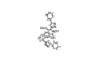 CO[C@@H]1[C@@H](n2cc(-c3ccnnc3)nn2)[C@@H](O)[C@@H](CO)O[C@H]1S[C@@H]1COC[C@H](n2cc(-c3ccccc3)nn2)[C@H]1O